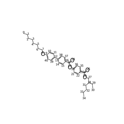 CCCCCCCCOc1ccc(-c2ccc(C(=O)Oc3ccc(C(=O)OCC(CC)CCCC)cc3)cc2)cc1